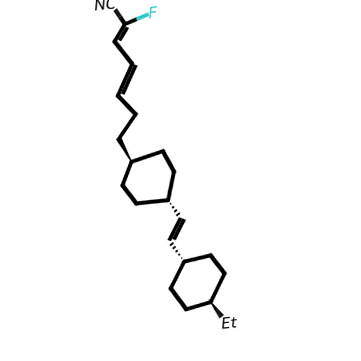 CC[C@H]1CC[C@H](C=C[C@H]2CC[C@H](CCC=CC=C(F)C#N)CC2)CC1